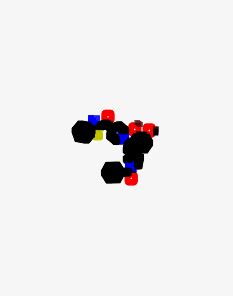 COc1ccc(C2(CCN3CCC(C(=O)c4nc5ccccc5s4)CC3)CCN(C(=O)c3ccccc3)C2)cc1OC